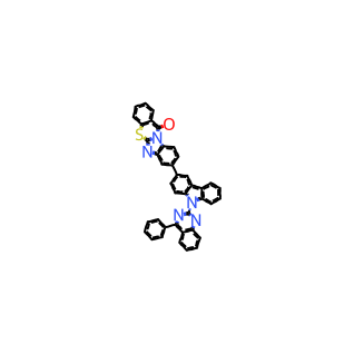 O=c1c2ccccc2sc2nc3cc(-c4ccc5c(c4)c4ccccc4n5-c4nc(-c5ccccc5)c5ccccc5n4)ccc3n12